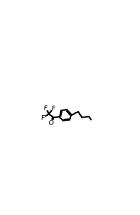 CCCCc1ccc(C(=O)C(F)(F)F)cc1